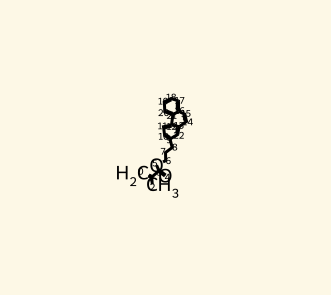 C=C(C)C(=O)OCCCc1ccc2c(ccc3ccccc32)c1